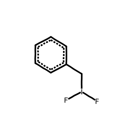 FI(F)Cc1ccccc1